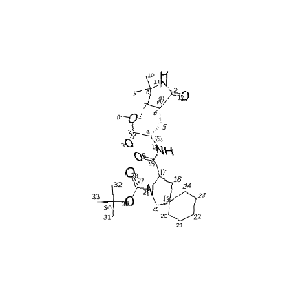 COC(=O)[C@H](C[C@@H]1CC(C)(C)NC1=O)NC(=O)C1CC2(CCCCC2)CN1C(=O)OC(C)(C)C